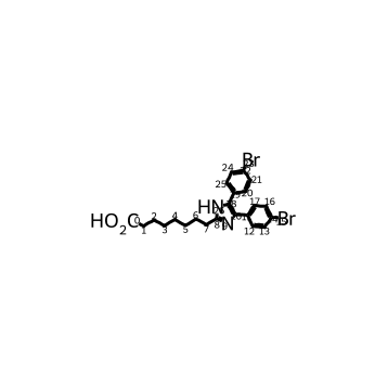 O=C(O)CCCCCCCc1nc(-c2ccc(Br)cc2)c(-c2ccc(Br)cc2)[nH]1